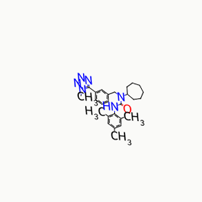 Cc1cc(C)c(NC(=O)N(Cc2cccc(-c3nnnn3C)c2)C2CCCCCC2)c(C)c1